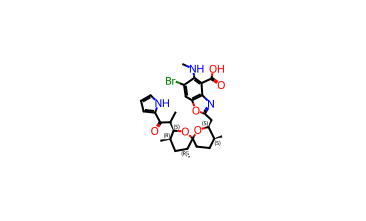 CNc1c(Br)cc2oc(C[C@@H]3OC4(CC[C@@H]3C)O[C@H](C(C)C(=O)c3ccc[nH]3)[C@H](C)C[C@H]4C)nc2c1C(=O)O